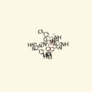 CC[C@H](C=N)[C@@H](c1ccc(Cl)cc1)C(C(=O)C([C@H](c1ccc(Cl)cc1)[C@@H](C=N)CC)N1CCN(c2c(-c3ccccc3)cnc3[nH]ccc23)CC1)N1CCN(c2c(-c3ccccc3)cnc3[nH]ccc23)CC1.Cl.Cl